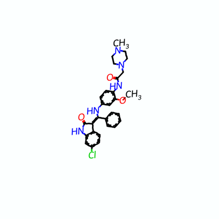 COc1cc(N/C(=C2\C(=O)Nc3cc(Cl)ccc32)c2ccccc2)ccc1NC(=O)CN1CCN(C)CC1